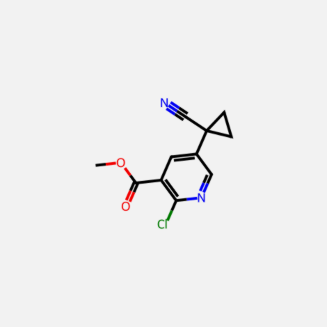 COC(=O)c1cc(C2(C#N)CC2)cnc1Cl